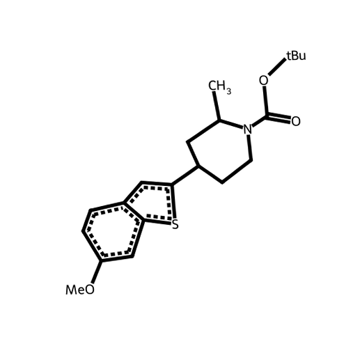 COc1ccc2cc(C3CCN(C(=O)OC(C)(C)C)C(C)C3)sc2c1